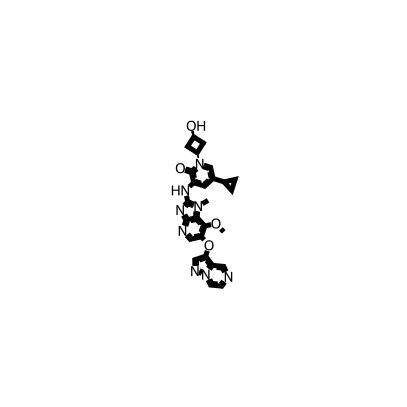 COc1c(Oc2cnn3ccncc23)cnc2nc(Nc3cc(C4CC4)cn([C@H]4C[C@H](O)C4)c3=O)n(C)c12